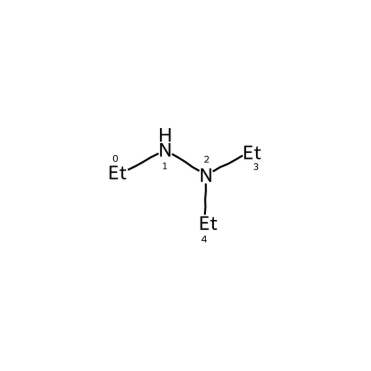 CCNN(CC)CC